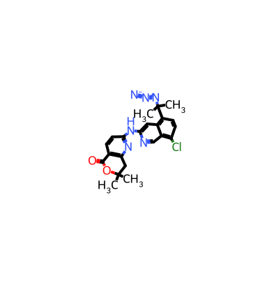 CC1(C)Cc2nc(Nc3cc4c(C(C)(C)N=[N+]=[N-])ccc(Cl)c4cn3)ccc2C(=O)O1